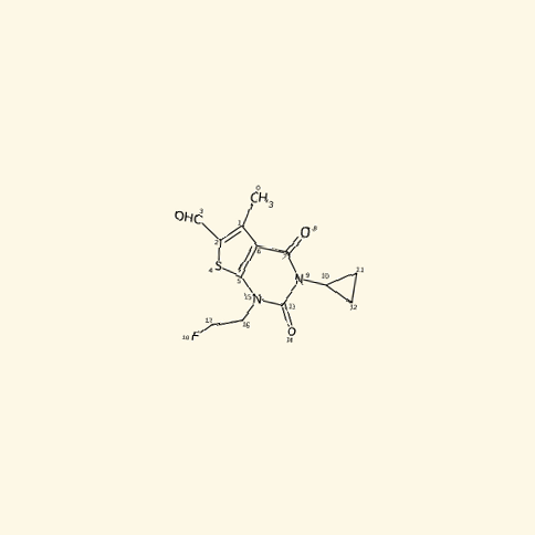 Cc1c(C=O)sc2c1c(=O)n(C1CC1)c(=O)n2CCF